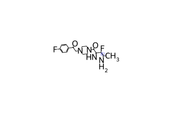 C/C(N)=C(\F)C(=N)C(=O)N1CCN(CC(=O)c2ccc(F)cc2)CC1